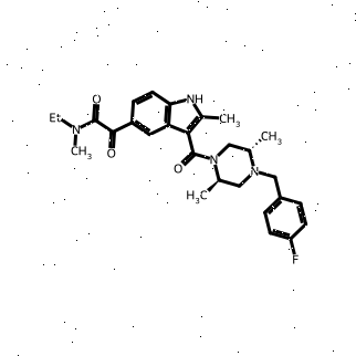 CCN(C)C(=O)C(=O)c1ccc2[nH]c(C)c(C(=O)N3C[C@H](C)N(Cc4ccc(F)cc4)C[C@H]3C)c2c1